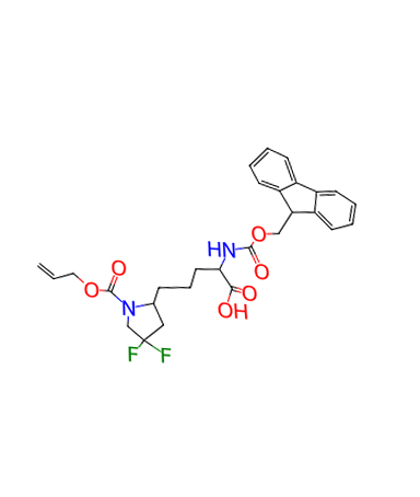 C=CCOC(=O)N1CC(F)(F)CC1CCCC(NC(=O)OCC1c2ccccc2-c2ccccc21)C(=O)O